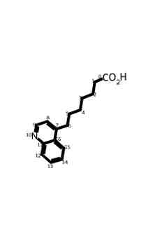 O=C(O)CCCCCCc1ccnc2ccccc12